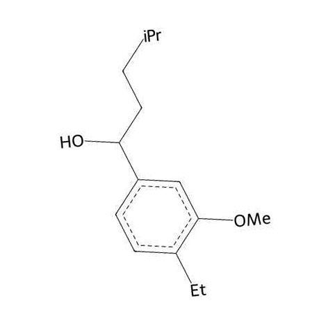 CCc1ccc(C(O)CCC(C)C)cc1OC